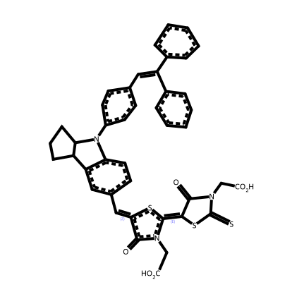 O=C(O)CN1C(=O)/C(=c2\s/c(=C\c3ccc4c(c3)C3CCCC3N4c3ccc(C=C(c4ccccc4)c4ccccc4)cc3)c(=O)n2CC(=O)O)SC1=S